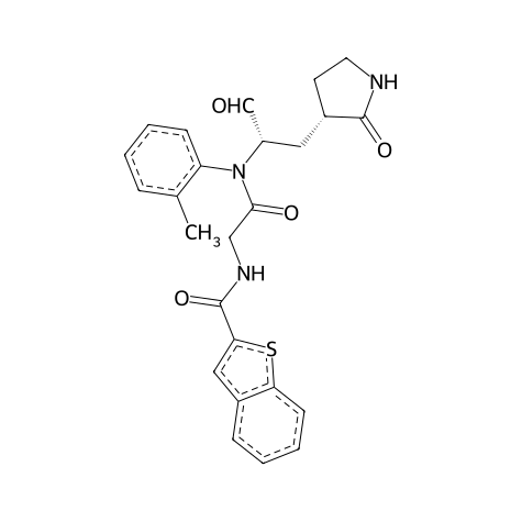 Cc1ccccc1N(C(=O)CNC(=O)c1cc2ccccc2s1)[C@H](C=O)C[C@@H]1CCNC1=O